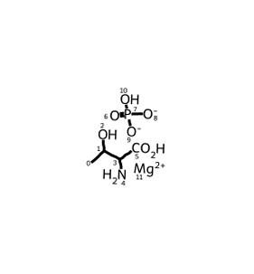 CC(O)C(N)C(=O)O.O=P([O-])([O-])O.[Mg+2]